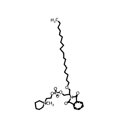 CCCCCCCCCCCCCCCCCCOCC(COP(=O)([O-])OCC[N+]1(C)CCCCC1)N1C(=O)c2ccccc2C1=O